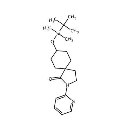 CC(C)(C)[Si](C)(C)OC1CCC2(CC1)CCN(c1ccccn1)C2=O